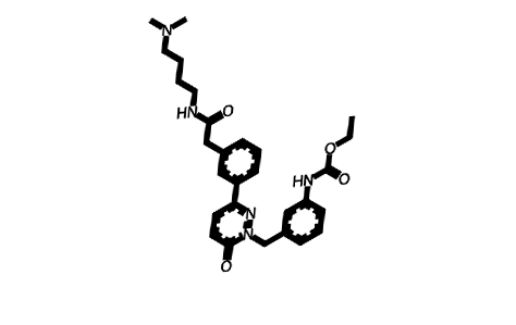 CCOC(=O)Nc1cccc(Cn2nc(-c3cccc(CC(=O)NCCCCN(C)C)c3)ccc2=O)c1